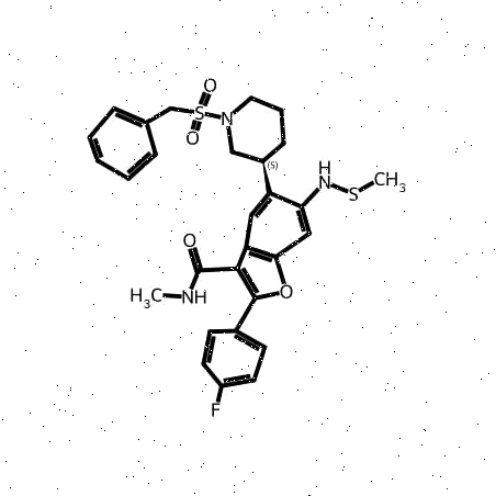 CNC(=O)c1c(-c2ccc(F)cc2)oc2cc(NSC)c([C@@H]3CCCN(S(=O)(=O)Cc4ccccc4)C3)cc12